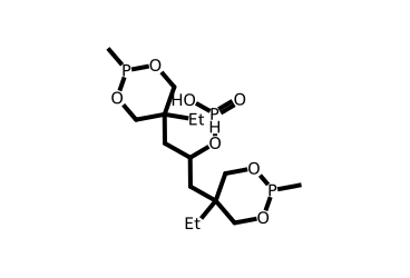 CCC1(CC(CC2(CC)COP(C)OC2)O[PH](=O)O)COP(C)OC1